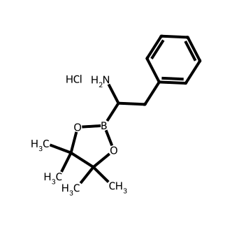 CC1(C)OB(C(N)Cc2ccccc2)OC1(C)C.Cl